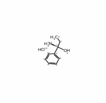 C[CH][C@](N)(O)c1ccccc1.Cl